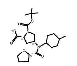 CC1CCC(N(C(=O)[C@@H]2CCCO2)[C@H]2C[C@@H](C(=O)O)N(C(=O)OC(C)(C)C)C2)CC1